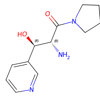 N[C@@H](C(=O)N1CCCC1)[C@H](O)c1cccnc1